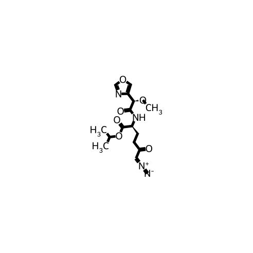 CO[C@H](C(=O)N[C@@H](CCC(=O)C=[N+]=[N-])C(=O)OC(C)C)c1cocn1